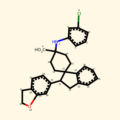 O=C(O)C1(Nc2cccc(Cl)c2)CCC2(CC1)c1ccccc1CC2c1ccc2c(c1)OCC2